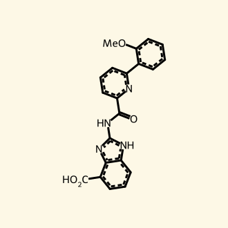 COc1ccccc1-c1cccc(C(=O)Nc2nc3c(C(=O)O)cccc3[nH]2)n1